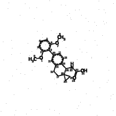 COc1cccc(OC)c1-c1ccc2c(c1)CCC1(CC1)C2NC(=O)O